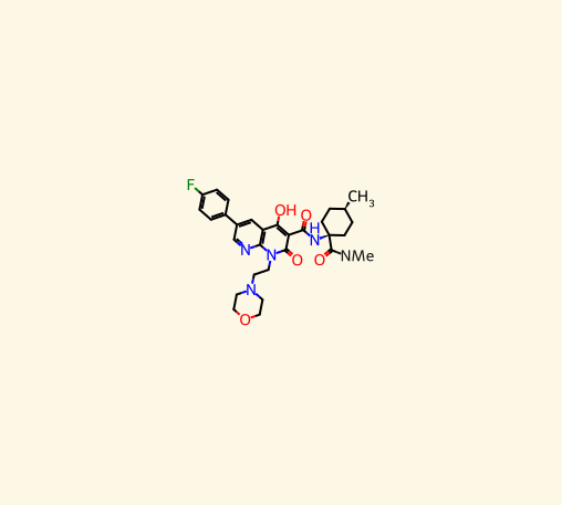 CNC(=O)[C@]1(NC(=O)c2c(O)c3cc(-c4ccc(F)cc4)cnc3n(CCN3CCOCC3)c2=O)CC[C@@H](C)CC1